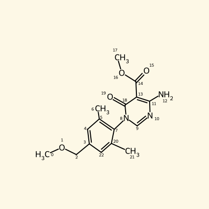 COCc1cc(C)c(-n2cnc(N)c(C(=O)OC)c2=O)c(C)c1